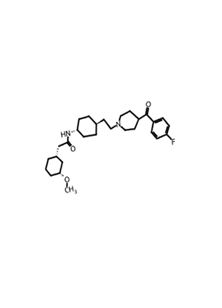 CO[C@@H]1CCC[C@H](CC(=O)N[C@H]2CC[C@H](CCN3CCC(C(=O)c4ccc(F)cc4)CC3)CC2)C1